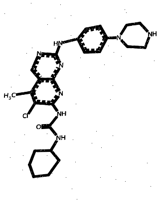 Cc1c(Cl)c(NC(=O)NC2CCCCC2)nc2nc(Nc3ccc(N4CCNCC4)cc3)ncc12